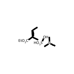 CC=C(C)C(=O)OCC.CN(C)C.O=S(=O)(O)O